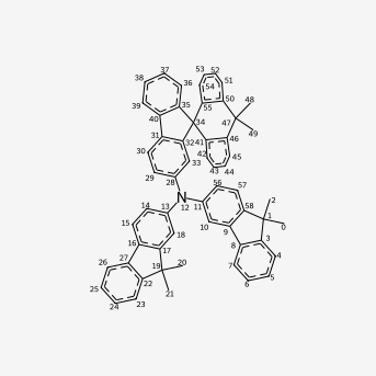 CC1(C)c2ccccc2-c2cc(N(c3ccc4c(c3)C(C)(C)c3ccccc3-4)c3ccc4c(c3)C3(c5ccccc5-4)c4ccccc4C(C)(C)c4ccccc43)ccc21